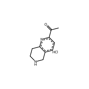 CC(=O)c1ccc2c(n1)CCNC2.Cl